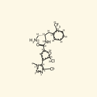 Cn1nnc(Cl)c1-c1cc(C(=O)N[C@H](CN)Cc2ccccc2C(F)(F)F)oc1Cl